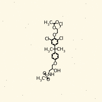 CC(=O)O[C@H](CCl)COc1c(Cl)cc(C(C)(C)c2ccc(OC[C@@H](O)CNS(C)(=O)=O)cc2)cc1Cl